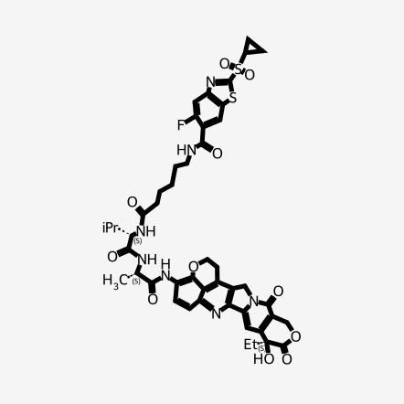 CC[C@@]1(O)C(=O)OCc2c1cc1n(c2=O)Cc2c-1nc1ccc(NC(=O)[C@H](C)NC(=O)[C@@H](NC(=O)CCCCCNC(=O)c3cc4sc(S(=O)(=O)C5CC5)nc4cc3F)C(C)C)c3c1c2CCO3